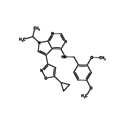 COc1ccc(CNc2ncnc3c2c(-c2cc(C4CC4)on2)cn3C(C)C)c(OC)c1